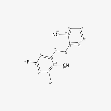 Cc1cc(F)cc(CCc2ccccc2C#N)c1C#N